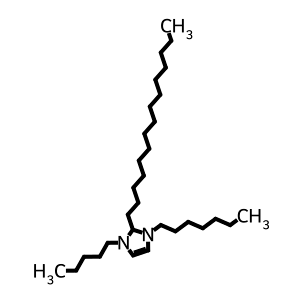 CCCCCCCCCCCCCCCC1N(CCCCC)C=CN1CCCCCCC